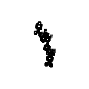 O=C(C=Cc1ccc(Sc2cccc(NS(=O)(=O)c3ccc([N+](=O)[O-])cc3)c2)c(C(F)(F)F)c1C(F)(F)F)N1CCOCC1